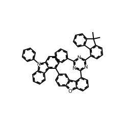 CC1(C)c2ccccc2-c2c(-c3nc(-c4ccccc4)nc(-c4cccc5oc6ccc(-c7cccc8c7c7ccccc7n8-c7ccccc7)cc6c45)n3)cccc21